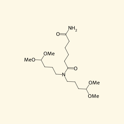 COC(CCCN(CCCC(OC)OC)C(=O)CCCCC(N)=O)OC